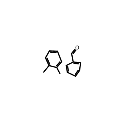 Cc1ccccc1C.O=Cc1ccccc1